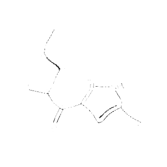 CCCC(C)C(=O)c1cc(C)[nH]n1